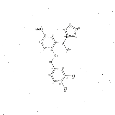 CCCC(c1cc(OC)ccc1SCc1ccc(Cl)c(Cl)c1)n1ccnc1